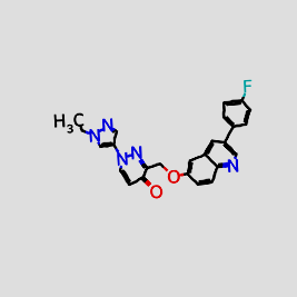 CCn1cc(-n2ccc(=O)c(COc3ccc4ncc(-c5ccc(F)cc5)cc4c3)n2)cn1